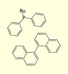 [Ru][P](c1ccccc1)c1ccccc1.c1ccc2c(-c3cccc4ccccc34)cccc2c1